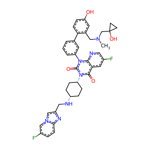 CN(Cc1cc(O)ccc1-c1cccc(-n2c(=O)n([C@H]3CC[C@@H](NCc4cn5cc(F)ccc5n4)CC3)c(=O)c3cc(F)cnc32)c1)CC1(O)CC1